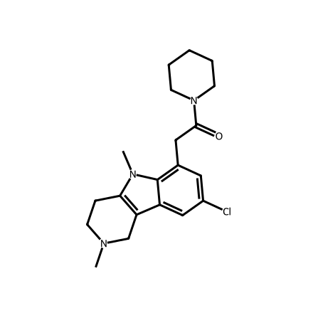 CN1CCc2c(c3cc(Cl)cc(CC(=O)N4CCCCC4)c3n2C)C1